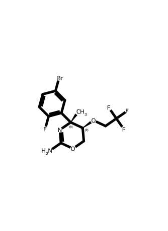 C[C@]1(c2cc(Br)ccc2F)N=C(N)OC[C@@H]1OCC(F)(F)F